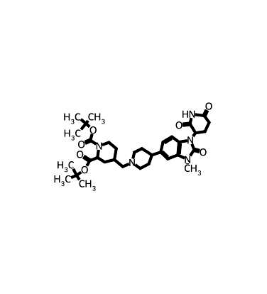 Cn1c(=O)n(C2CCC(=O)NC2=O)c2ccc(C3CCN(CC4CCN(C(=O)OC(C)(C)C)C(C(=O)OC(C)(C)C)C4)CC3)cc21